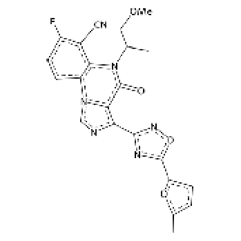 COCC(C)n1c(=O)c2c(-c3noc(-c4ccc(C)o4)n3)ncn2c2ccc(F)c(C#N)c21